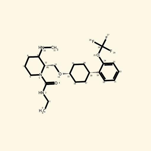 CCNC(=O)N1CCCC(NC)[C@@H]1CO[C@H]1CC[C@@H](c2ccccc2OC(F)(F)F)CC1